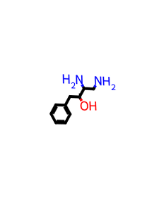 NCC(N)[C](O)Cc1ccccc1